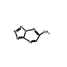 Cc1cnc2nnnn2n1